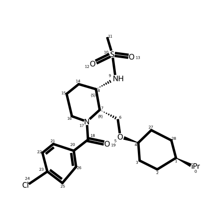 CC(C)[C@H]1CC[C@@H](OC[C@H]2[C@@H](NS(C)(=O)=O)CCCN2C(=O)c2ccc(Cl)cc2)CC1